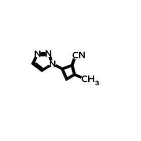 CC1CC(n2ccnn2)C1C#N